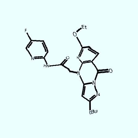 CCOc1ccc2c(=O)n3nc(C(C)(C)C)cc3n(CC(=O)Nc3ccc(F)cn3)c2n1